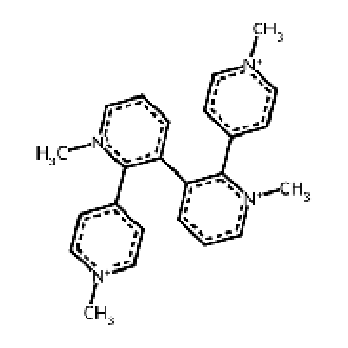 C[n+]1ccc(-c2c(-c3ccc[n+](C)c3-c3cc[n+](C)cc3)ccc[n+]2C)cc1